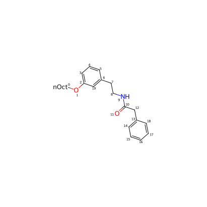 CCCCCCCCOc1cccc(CCNC(=O)Cc2ccccc2)c1